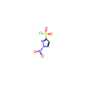 O=[N+]([O-])n1ccc(S(=O)(=O)Cl)n1